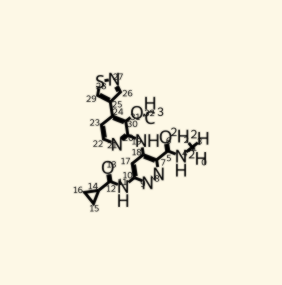 [2H]C([2H])([2H])NC(=O)c1nnc(NC(=O)C2CC2)cc1Nc1nccc(-c2cnsc2)c1OC